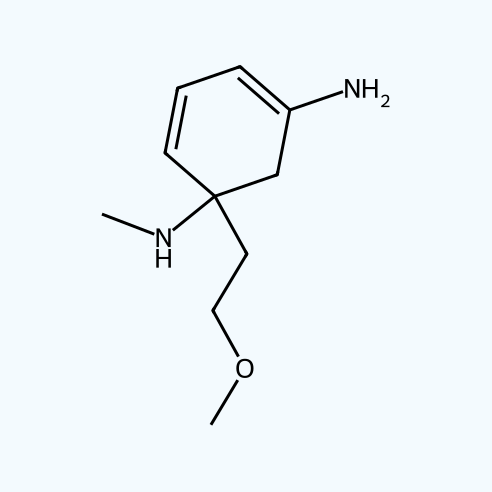 CNC1(CCOC)C=CC=C(N)C1